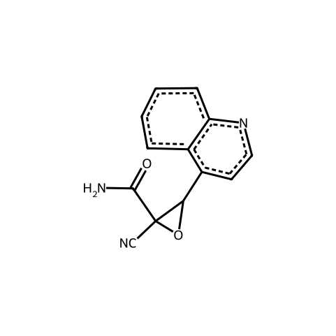 N#CC1(C(N)=O)OC1c1ccnc2ccccc12